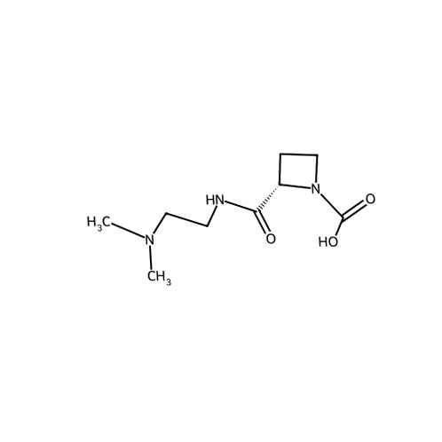 CN(C)CCNC(=O)[C@@H]1CCN1C(=O)O